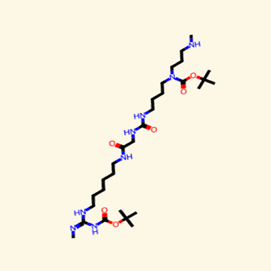 CN=C(NCCCCCCNC(=O)CNC(=O)NCCCCN(CCCNC)C(=O)OC(C)(C)C)NC(=O)OC(C)(C)C